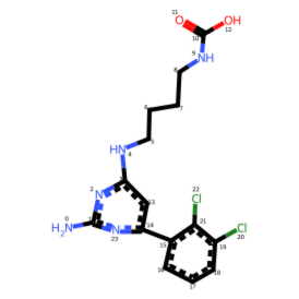 Nc1nc(NCCCCNC(=O)O)cc(-c2cccc(Cl)c2Cl)n1